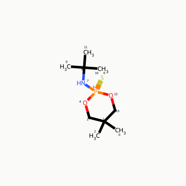 CC1(C)COP(=S)(NC(C)(C)C)OC1